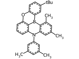 Cc1cc(C)cc(N2c3cc(C)cc(C)c3B3c4cc(C(C)(C)C)ccc4Oc4cccc2c43)c1